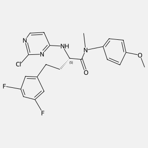 COc1ccc(N(C)C(=O)[C@H](CCc2cc(F)cc(F)c2)Nc2ccnc(Cl)n2)cc1